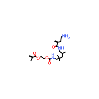 C=C(C)C(=O)OCCOC(=O)NCC(C)(C)CC(C)CNC(=O)C(=C)CCN